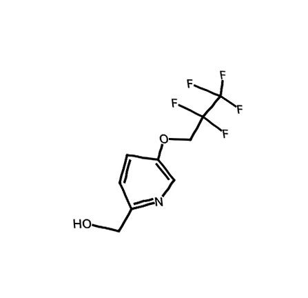 OCc1ccc(OCC(F)(F)C(F)(F)F)cn1